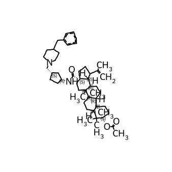 C=C(C)C1CC[C@]2(C(=O)N[C@@H]3CC[C@H](CN4CCC(Cc5ccccc5)CC4)C3)CC[C@]3(C)[C@H](CC[C@@H]4[C@@]5(C)CC[C@H](OC(C)=O)C(C)(C)[C@@H]5CC[C@]43C)[C@@H]12